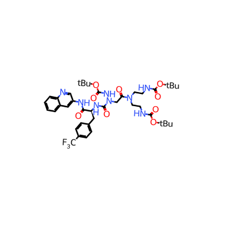 CC(C)(C)OC(=O)NCCN(CCNC(=O)OC(C)(C)C)C(=O)CN(NC(=O)OC(C)(C)C)C(=O)N[C@@H](Cc1ccc(C(F)(F)F)cc1)C(=O)Nc1cnc2ccccc2c1